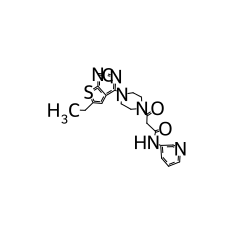 CCc1cc2c(N3CCN(C(=O)CC(=O)Nc4cccnc4)CC3)ncnc2s1